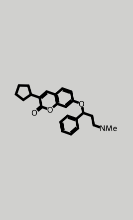 CNCCC(Oc1ccc2cc(C3CCCC3)c(=O)oc2c1)c1ccccc1